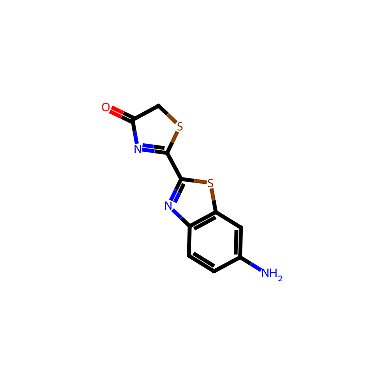 Nc1ccc2nc(C3=NC(=O)CS3)sc2c1